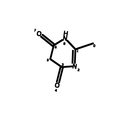 CC1=NC(=O)CC(=O)N1